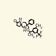 Cc1cc([C@@H](C)OC[C@]2(c3ccccc3)CC[C@@]3(CCC(=O)N3)CN2)cc(C(F)(F)F)c1